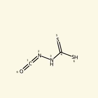 O=C=NNC(=S)S